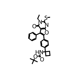 CCn1c(SC)nc2oc(-c3ccc(C4(NC(=O)OC(C)(C)C)CCC4)cc3)c(-c3ccccc3)c2c1=O